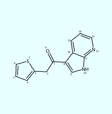 O=C(Cc1cccs1)c1c[nH]c2ncccc12